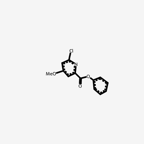 COc1cc(Cl)nc(C(=O)Oc2ccccc2)c1